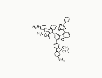 Bc1ccc2c(c1)C(C)(C)c1cc(-c3cc(-c4ccc5c(c4)C(C)(C)c4cc(B)ccc4-5)c4oc5cccc(-c6nc(-c7ccccc7)nc(-c7ccccc7)n6)c5c4c3)ccc1-2